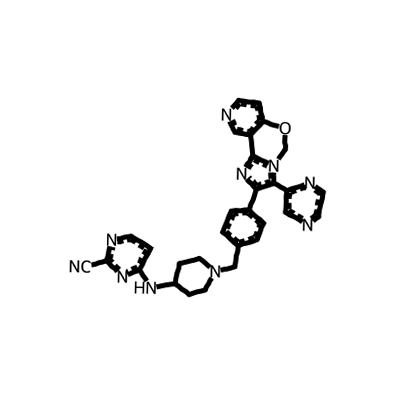 N#Cc1nccc(NC2CCN(Cc3ccc(-c4nc5n(c4-c4cnccn4)COc4ccncc4-5)cc3)CC2)n1